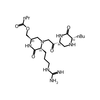 CCCC[C@@H]1NC[C@H](C(=O)CN2C[C@H](COC(=O)CCC)NC(=O)[C@@H]2CCCNC(=N)N)NC1=O